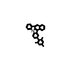 Cc1cc(C)c(-c2ccc3c(c2)c2c4ccccc4cc4c5ccccc5n3c42)c(C)c1